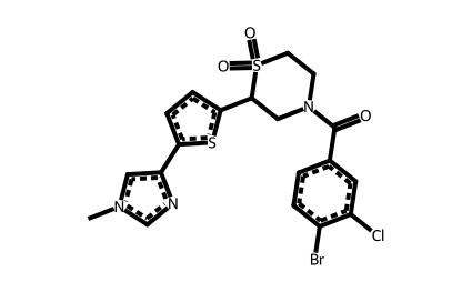 Cn1cnc(-c2ccc(C3CN(C(=O)c4ccc(Br)c(Cl)c4)CCS3(=O)=O)s2)c1